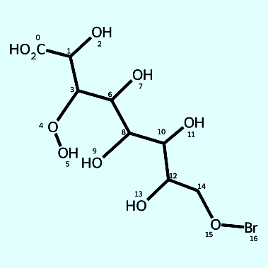 O=C(O)C(O)C(OO)C(O)C(O)C(O)C(O)COBr